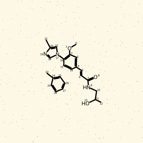 COc1cc(C=CC(=O)NCC(C)O)ccc1-n1cnc(C)c1.Cc1ccccc1